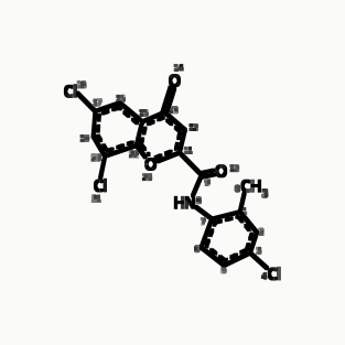 Cc1cc(Cl)ccc1NC(=O)c1cc(=O)c2cc(Cl)cc(Cl)c2o1